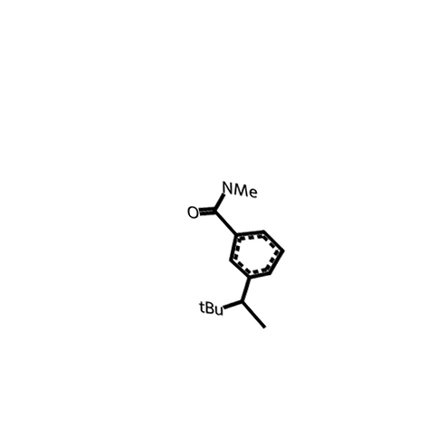 CNC(=O)c1cccc(C(C)C(C)(C)C)c1